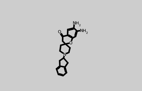 Nc1cc2c(cc1N)C(=O)CC1(CCN(C3Cc4ccccc4C3)CC1)O2